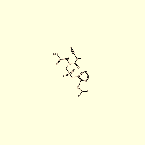 CN(C#N)C(=O)[C@H](CS(=O)(=O)Cc1ccccc1OC(F)F)NC(=O)O